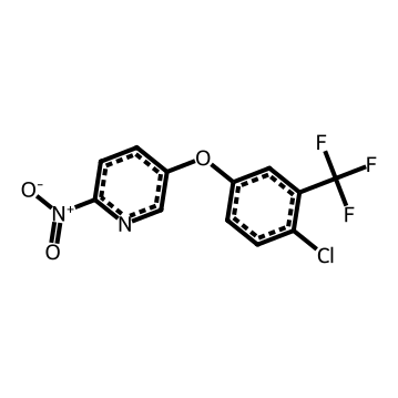 O=[N+]([O-])c1ccc(Oc2ccc(Cl)c(C(F)(F)F)c2)cn1